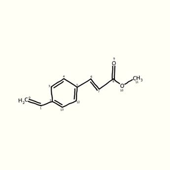 C=Cc1ccc(C=CC(=O)OC)cc1